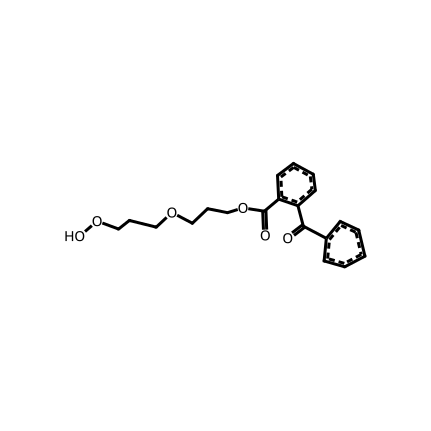 O=C(OCCCOCCCOO)c1ccccc1C(=O)c1ccccc1